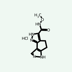 CONC(=O)c1[nH]nc2c1CCc1[nH]ncc1-2.Cl